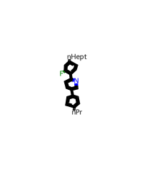 CCCCCCCc1ccc(-c2ccc(-c3ccc(CCC)cc3)cn2)c(F)c1